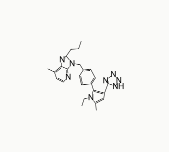 CCCc1nc2c(C)ccnc2n1Cc1ccc(-c2c(-c3nnn[nH]3)cc(C)n2CC)cc1